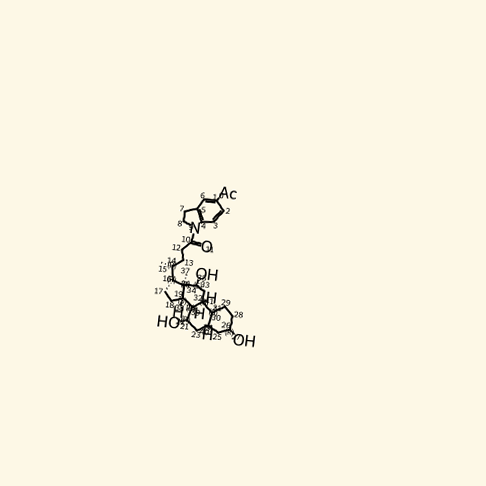 CC(=O)c1ccc2c(c1)CCN2C(=O)CC[C@@H](C)[C@H]1CC[C@H]2[C@@H]3[C@H](O)C[C@@H]4C[C@H](O)CC[C@]4(C)[C@H]3C[C@H](O)[C@]12C